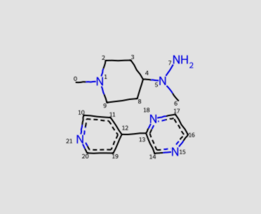 CN1CCC(N(C)N)CC1.c1cc(-c2cnccn2)ccn1